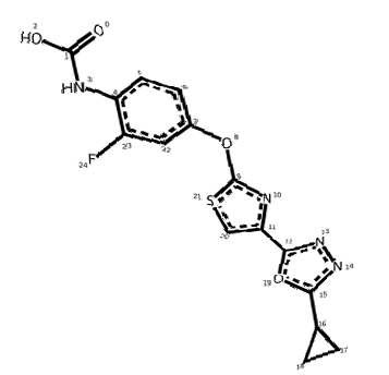 O=C(O)Nc1ccc(Oc2nc(-c3nnc(C4CC4)o3)cs2)cc1F